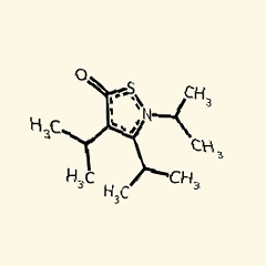 CC(C)c1c(C(C)C)n(C(C)C)sc1=O